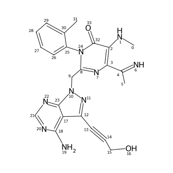 CNc1c(C(C)=N)nc(Cn2nc(C#CCO)c3c(N)ncnc32)n(-c2ccccc2C)c1=O